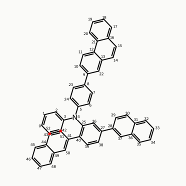 c1ccc(N(c2ccc(-c3ccc4c(ccc5ccccc54)c3)cc2)c2cc(-c3ccc4ccccc4c3)ccc2-c2ccc3ccccc3c2)cc1